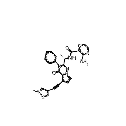 C[C@H](NC(=O)c1nccnc1N)c1nn2ccc(C#Cc3cnn(C)c3)c2c(=O)n1-c1ccccc1